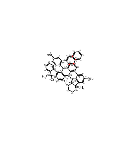 CCCCc1ccc(N2c3cc(-c4ccccc4)cc4c3B(c3ccc5c(c32)-c2ccccc2C5(C)C)N2c3c-4cc(CCCC)cc3C3(C)CCCCC23C)c(-c2ccccc2)c1